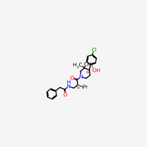 CC(C)[C@@H](CNC(=O)Cc1ccccc1)C(=O)N1CC[C@](O)(c2ccc(Cl)cc2)C(C)(C)C1